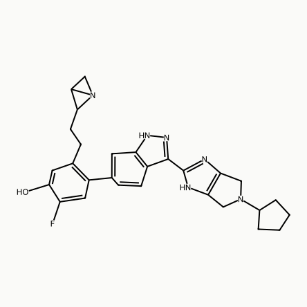 Oc1cc(CCC2C3CN23)c(-c2ccc3c(-c4nc5c([nH]4)CN(C4CCCC4)C5)n[nH]c3c2)cc1F